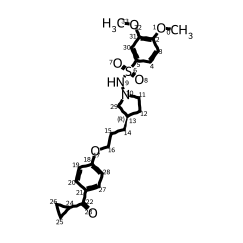 COc1ccc(S(=O)(=O)NN2CC[C@@H](CCCOc3ccc(C(=O)C4CC4)cc3)C2)cc1OC